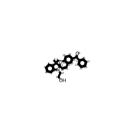 CC1(C)c2ccccc2N(CCO)C12C=Cc1cc(C(=O)c3ccccc3)ccc1O2